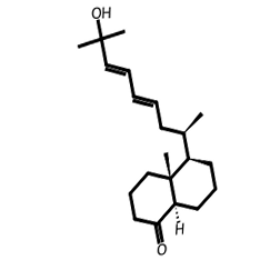 C[C@H](CC=CC=CC(C)(C)O)[C@H]1CCC[C@H]2C(=O)CCC[C@]12C